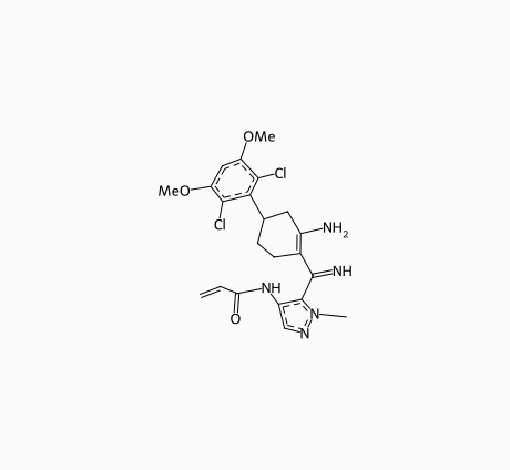 C=CC(=O)Nc1cnn(C)c1C(=N)C1=C(N)CC(c2c(Cl)c(OC)cc(OC)c2Cl)CC1